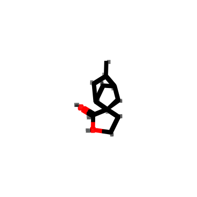 CC1CC2CC1C[C@]21CCOC1=O